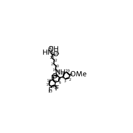 COc1ccc(/C(=C/c2c(F)ccc(F)c2F)C(=O)NCCCCCC(=O)NO)cc1